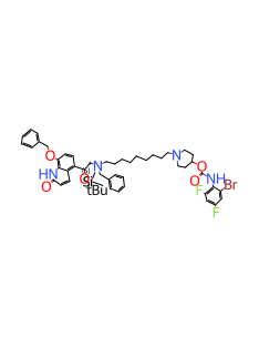 CC(C)(C)[Si](C)(C)O[C@H](CN(CCCCCCCCCN1CCC(OC(=O)Nc2c(F)cc(F)cc2Br)CC1)Cc1ccccc1)c1ccc(OCc2ccccc2)c2[nH]c(=O)ccc12